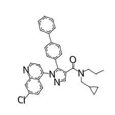 CCCN(CC1CC1)C(=O)c1cnn(-c2ccnc3cc(Cl)ccc23)c1-c1ccc(-c2ccccc2)cc1